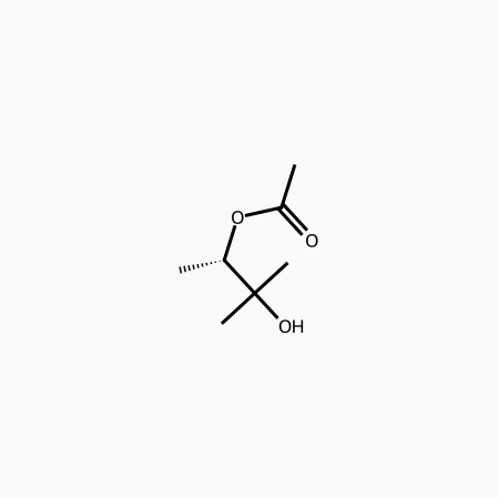 CC(=O)O[C@@H](C)C(C)(C)O